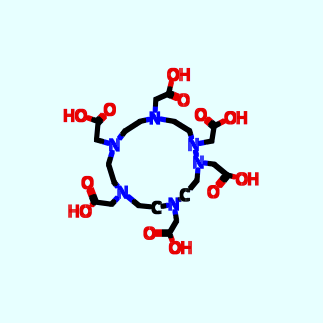 O=C(O)CN1CCN(CC(=O)O)CCN(CC(=O)O)CCN(CC(=O)O)N(CC(=O)O)CCN(CC(=O)O)CC1